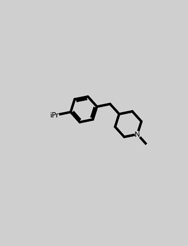 CC(C)c1ccc(CC2CCN(C)CC2)cc1